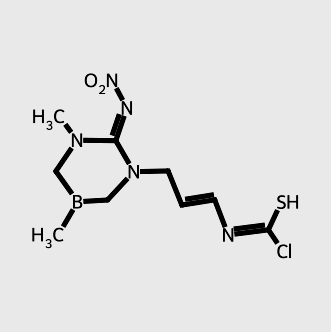 CB1CN(C)/C(=N\[N+](=O)[O-])N(C/C=C/N=C(\S)Cl)C1